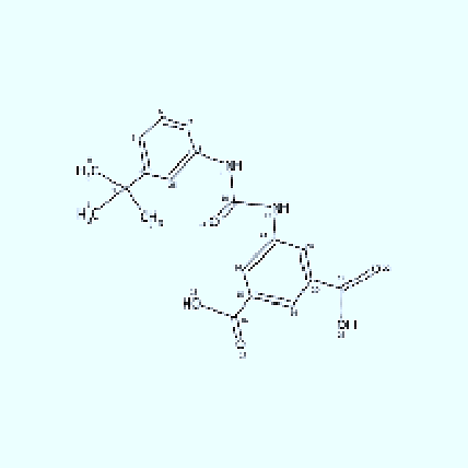 CC(C)(C)c1cccc(NC(=O)Nc2cc(C(=O)O)cc(C(=O)O)c2)c1